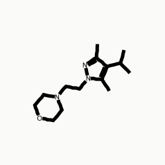 Cc1nn(CCN2CCOCC2)c(C)c1C(C)C